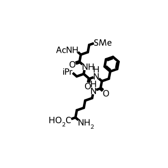 CSCCC(NC(C)=O)C(=O)NC(CC(C)C)C(=O)NC(Cc1ccccc1)C(=O)NCCCCC(N)C(=O)O